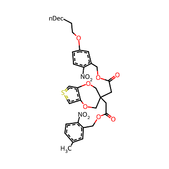 CCCCCCCCCCCCOc1ccc([N+](=O)[O-])c(COC(=O)CC2(CC(=O)OCc3cc(C)ccc3[N+](=O)[O-])COc3cscc3OC2)c1